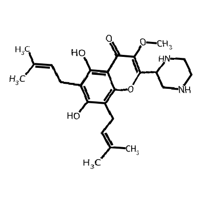 COc1c(C2CNCCN2)oc2c(CC=C(C)C)c(O)c(CC=C(C)C)c(O)c2c1=O